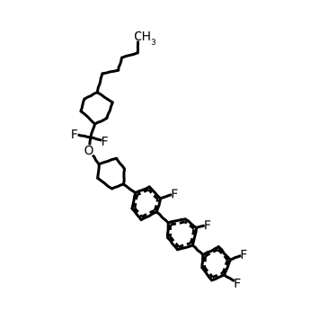 CCCCCC1CCC(C(F)(F)OC2CCC(c3ccc(-c4ccc(-c5ccc(F)c(F)c5)c(F)c4)c(F)c3)CC2)CC1